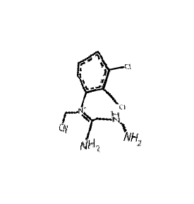 N#CC[N+](=C(N)NN)c1cccc(Cl)c1Cl